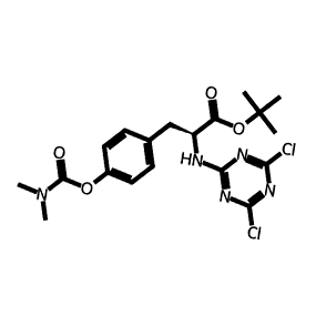 CN(C)C(=O)Oc1ccc(C[C@H](Nc2nc(Cl)nc(Cl)n2)C(=O)OC(C)(C)C)cc1